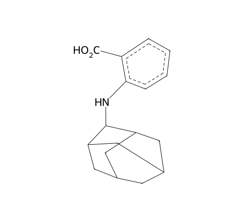 O=C(O)c1ccccc1NC1C2CC3CC(C2)CC1C3